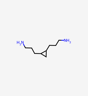 NCCCC1CC1CCCN